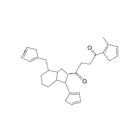 CC1=C(C(=O)CCC(=O)C2CC3C(CC4=CC=CC4)CCCC3C2C2=CC=CC2)CC=C1